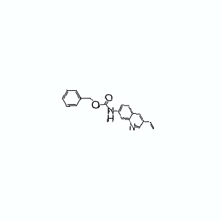 C=Cc1cnc2cc(NC(=O)OCc3ccccc3)ccc2c1